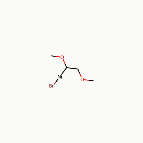 COC[CH](OC)[Ni][Br]